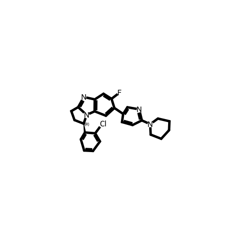 Fc1cc2nc3n(c2cc1-c1ccc(N2CCCCC2)nc1)[C@@H](c1ccccc1Cl)CC3